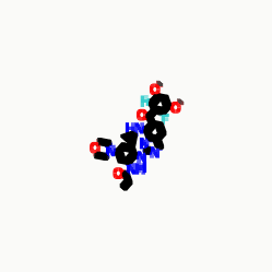 C=CC(=O)Nc1cc(N2CCOCC2)ccc1Nc1ncc2ccc(C(=O)c3c(F)c(OC)cc(OC)c3F)c(NC3CC3)c2n1